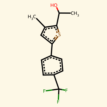 Cc1cc(-c2ccc(C(F)(F)F)cc2)sc1C(C)O